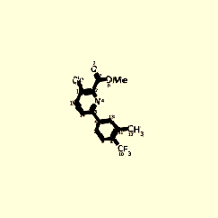 COC(=O)c1nc(-c2ccc(C(F)(F)F)c(C)c2)ccc1Cl